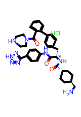 Cl.NC[C@H]1CC[C@H](C(=O)N[C@@H](Cc2ccc(-c3ccccc3C(=O)N3CCNCC3)cc2)C(=O)Nc2ccc(-c3nn[nH]n3)cc2)CC1